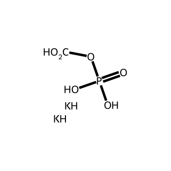 O=C(O)OP(=O)(O)O.[KH].[KH]